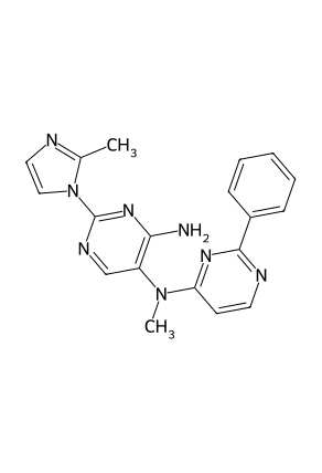 Cc1nccn1-c1ncc(N(C)c2ccnc(-c3ccccc3)n2)c(N)n1